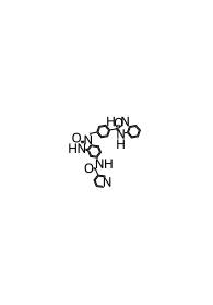 Nc1ccccc1NC(=O)c1ccc(Cn2c(=O)[nH]c3cc(NC(=O)c4cccnc4)ccc32)cc1